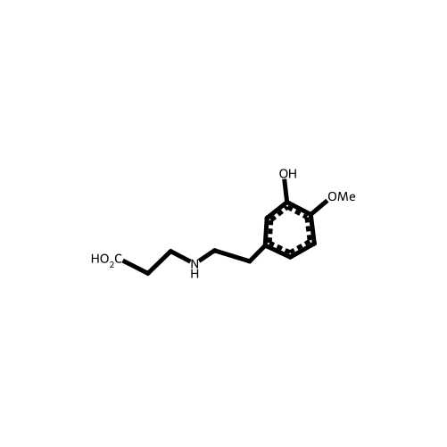 COc1ccc(CCNCCC(=O)O)cc1O